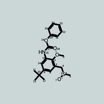 COc1c(C[S+](C)[O-])cc(C(C)(C)C)cc1NC(=O)Oc1ccccc1